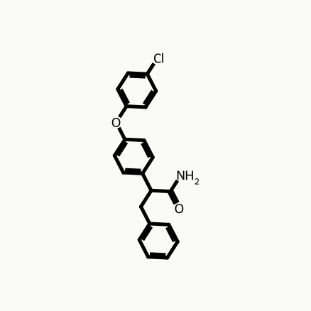 NC(=O)C(Cc1ccccc1)c1ccc(Oc2ccc(Cl)cc2)cc1